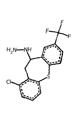 NNC1Cc2c(Cl)cccc2Sc2ccc(C(F)(F)F)cc21